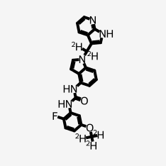 [2H]C([2H])([2H])Oc1ccc(F)c(NC(=O)Nc2cccc3c2ccn3C([2H])([2H])c2c[nH]c3ncccc23)c1